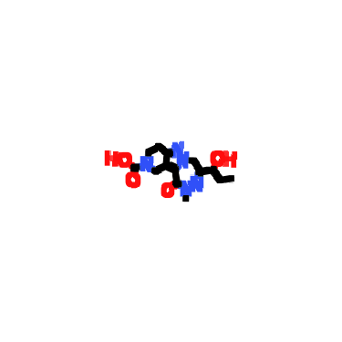 CCC(O)C1=NN(C)C(=O)c2c3c(nn2C1)CCN(C(=O)O)C3